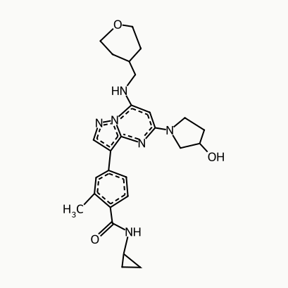 Cc1cc(-c2cnn3c(NCC4CCOCC4)cc(N4CCC(O)C4)nc23)ccc1C(=O)NC1CC1